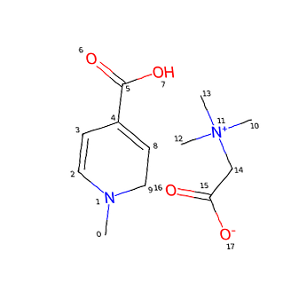 CN1C=CC(C(=O)O)=CC1.C[N+](C)(C)CC(=O)[O-]